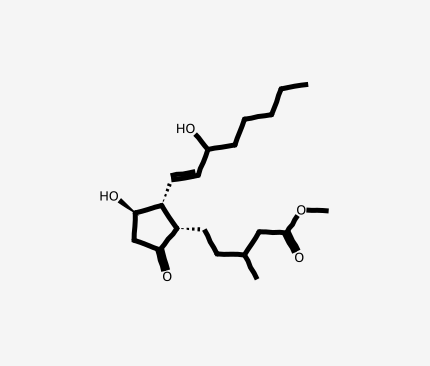 CCCCCC(O)/C=C/[C@H]1[C@H](O)CC(=O)[C@H]1CCC(C)CC(=O)OC